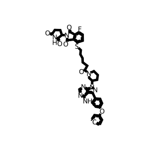 Nc1ncnc2c1c(-c1ccc(Oc3ccccc3)cc1)nn2C1CCCN(C(=O)CCCCCSc2ccc(F)c3c2C(=O)N(C2CCC(=O)NC2=O)C3=O)C1